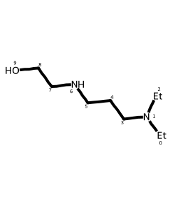 CCN(CC)CCCNCCO